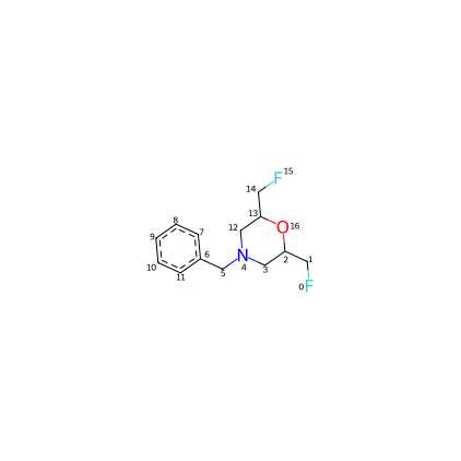 FCC1CN(Cc2ccccc2)CC(CF)O1